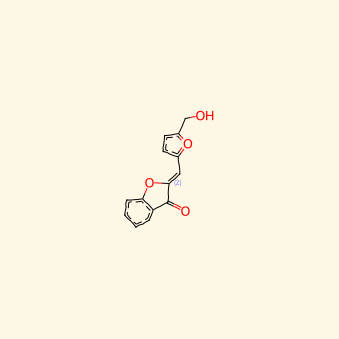 O=C1/C(=C/c2ccc(CO)o2)Oc2ccccc21